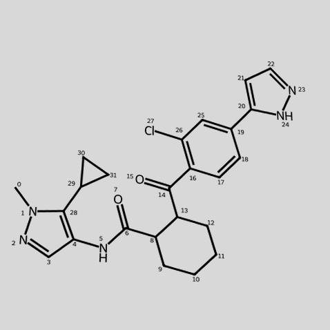 Cn1ncc(NC(=O)C2CCCCC2C(=O)c2ccc(-c3ccn[nH]3)cc2Cl)c1C1CC1